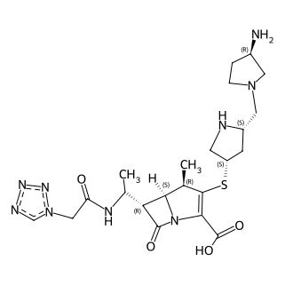 CC(NC(=O)Cn1cnnn1)[C@H]1C(=O)N2C(C(=O)O)=C(S[C@@H]3CN[C@H](CN4CC[C@@H](N)C4)C3)[C@H](C)[C@H]12